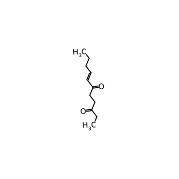 CCC/C=C/C(=O)CCC(=O)CC